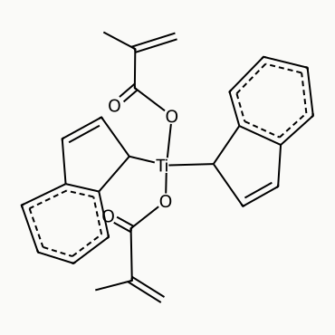 C=C(C)C(=O)[O][Ti]([O]C(=O)C(=C)C)([CH]1C=Cc2ccccc21)[CH]1C=Cc2ccccc21